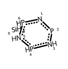 [SiH4].n1p[nH][pH][nH][pH]1